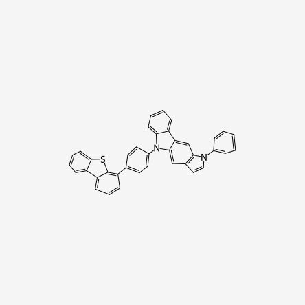 c1ccc(-n2ccc3cc4c(cc32)c2ccccc2n4-c2ccc(-c3cccc4c3sc3ccccc34)cc2)cc1